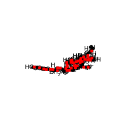 CCc1cc(OCCCCN=[N+]=[N-])ccc1-c1ccc(C[C@H](NC(=O)[C@H](CC(=O)O)NC(=O)[C@H](CO)NC(=O)[C@@H](NC(=O)[C@](C)(Cc2ccccc2F)NC(=O)[C@@H](NC(=O)CNC(=O)[C@H](Cc2nn[nH]n2)NC(=O)C(C)(C)C(=O)NCCc2cnc[nH]2)[C@@H](C)O)[C@@H](C)O)C(=O)N[C@@H](CCCc2ccc(CNC(=O)CCOCCOCCOCCOCCO)cc2)C(N)=O)cc1